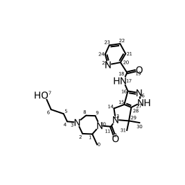 CC1CN(CCCO)CCN1C(=O)N1Cc2c(NC(=O)c3ccccn3)n[nH]c2C1(C)C